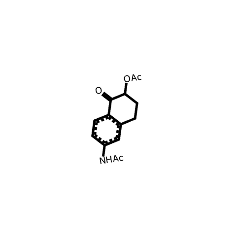 CC(=O)Nc1ccc2c(c1)CCC(OC(C)=O)C2=O